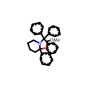 COCOC1(c2ccccc2)CCCCN1C(c1ccccc1)(c1ccccc1)c1ccccc1